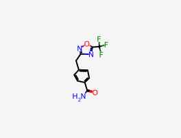 NC(=O)c1ccc(Cc2noc(C(F)(F)F)n2)cc1